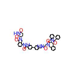 O=C(CN1Cc2ccccc2C2OC(c3ccccc3)=N[C@]2(Cc2ccccc2)C1=O)NCc1ccc(-c2ccc(C(=O)Nc3cccc4c3CN(C3CCC(=O)NC3=O)C4=O)cc2)cc1